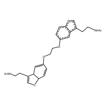 CC(=O)NCCC1=COC2C=CC(OCCOc3ccc4scc(CCNC(C)=O)c4c3)=CC12